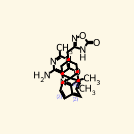 Cc1nc(N)c2c(n1)OC(C)(C)C(C1=C\C=C\C3(C/C=C\1)CCC(Cc1noc(=O)[nH]1)CC3)=N2